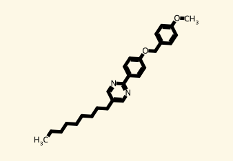 CCCCCCCCCc1cnc(-c2ccc(OCc3ccc(OC)cc3)cc2)nc1